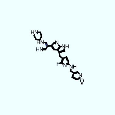 COc1ccc(CNc2ccc(Cc3c[nH]c4ncc(/C(C=N)=C/NC5CCNCC5)cc34)c(F)n2)cn1